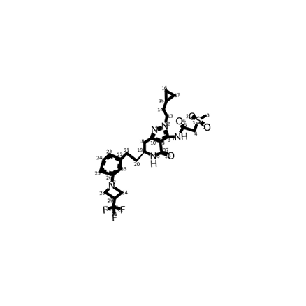 CS(=O)(=O)CC(=O)Nc1c2c(nn1CCC1CC1)C[C@H](CCc1cccc(N3CC(C(F)(F)F)C3)c1)NC2=O